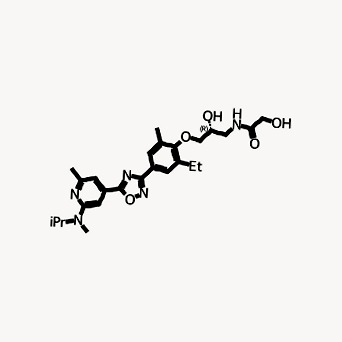 CCc1cc(-c2noc(-c3cc(C)nc(N(C)C(C)C)c3)n2)cc(C)c1OC[C@H](O)CNC(=O)CO